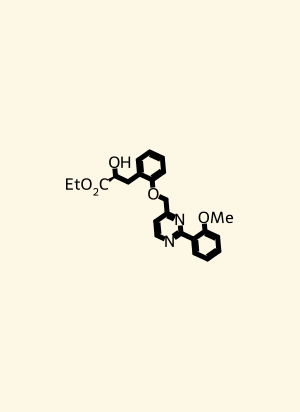 CCOC(=O)[C@@H](O)Cc1ccccc1OCc1ccnc(-c2ccccc2OC)n1